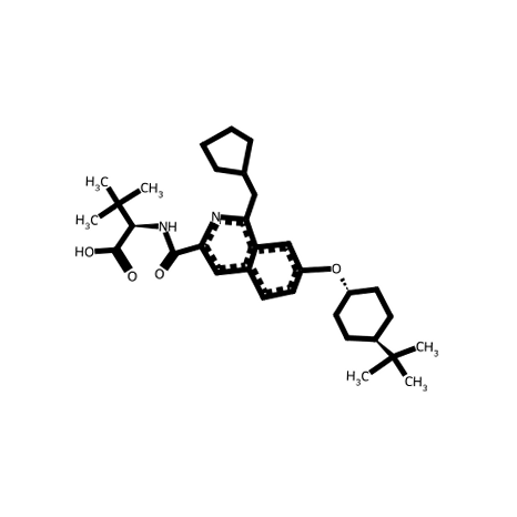 CC(C)(C)[C@@H](NC(=O)c1cc2ccc(O[C@H]3CC[C@H](C(C)(C)C)CC3)cc2c(CC2CCCC2)n1)C(=O)O